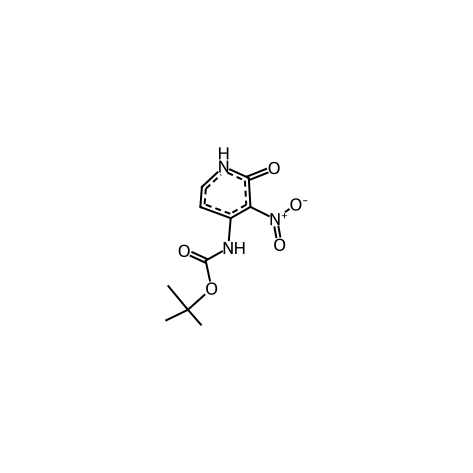 CC(C)(C)OC(=O)Nc1cc[nH]c(=O)c1[N+](=O)[O-]